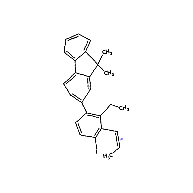 C/C=C\c1c(I)ccc(-c2ccc3c(c2)C(C)(C)c2ccccc2-3)c1CC